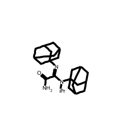 CC(C)N(/C(=N/C12CC3CC(CC(C3)C1)C2)C(N)=O)C12CC3CC(CC(C3)C1)C2